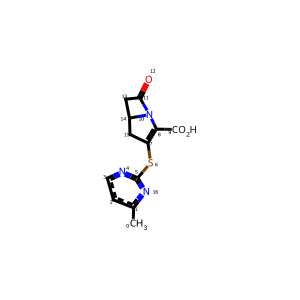 Cc1ccnc(SC2=C(C(=O)O)N3C(=O)CC3C2)n1